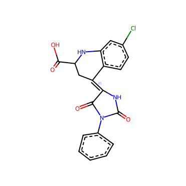 O=C(O)C1C/C(=C2/NC(=O)N(c3ccccc3)C2=O)c2ccc(Cl)cc2N1